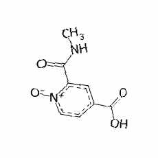 CNC(=O)c1cc(C(=O)O)cc[n+]1[O-]